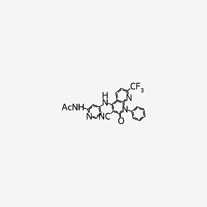 CC(=O)Nc1cc(Nc2c(C#N)c(=O)n(-c3ccccc3)c3nc(C(F)(F)F)ccc23)ccn1